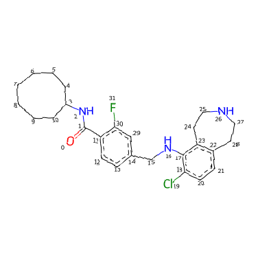 O=C(NC1CCCCCCC1)c1ccc(CNc2c(Cl)ccc3c2CCNCC3)cc1F